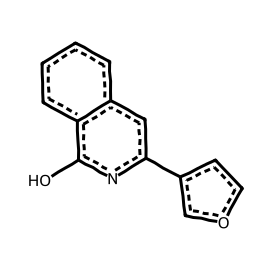 Oc1nc(-c2ccoc2)cc2ccccc12